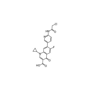 O=C(CCl)Nc1ccc(-c2cc3c(cc2F)c(=O)c(C(=O)O)cn3C2CC2)cn1